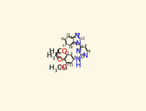 COc1cc(Nc2nccc(-n3cnc4ccccc43)n2)cc(OC)c1OC